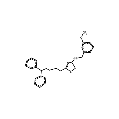 FC(F)(F)Oc1cccc(CNC2CSC(CCCCC(c3ccccc3)c3ccccc3)=N2)c1